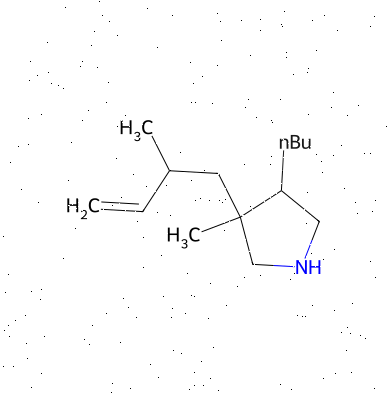 C=CC(C)CC1(C)CNCC1CCCC